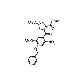 COC(=O)[C@H]1C[C@H](OC)CN1C(=O)c1cc(OC)c(OCc2ccccc2)cc1[N+](=O)[O-]